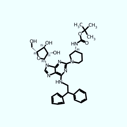 CC(C)(C)OC(=O)N[C@@H]1CCCN(c2nc(NCC(c3ccccc3)c3ccccc3)c3ncn([C@@H]4O[C@H](CO)[C@@H](O)[C@@H]4O)c3n2)C1